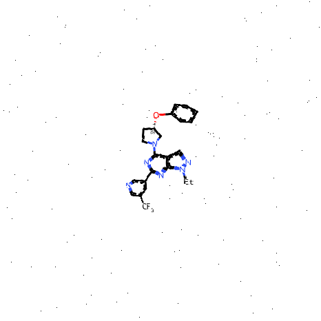 CCn1ncc2c(N3CC[C@H](Oc4ccccc4)C3)nc(-c3cncc(C(F)(F)F)c3)nc21